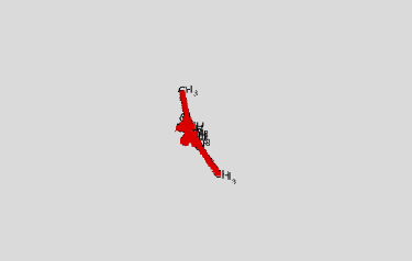 CCCCCCCCCCCCCCCCCCOC(=O)c1ccc(C[N+]2=c3c(c4c(c5cc6ccccc6cc35)=CC3=C5C=c6ccccc6=CC5C5C(=C3O4)C(C)(C)CN5c3ccc(C(=O)OCCCCCCCCCCCCCCCCCC)cc3)C(C)(C)C2)cc1